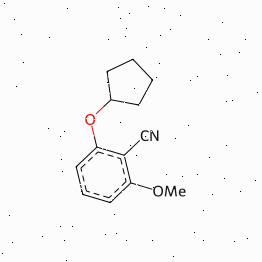 COc1cccc(OC2CCCC2)c1C#N